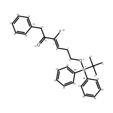 CC(C)(C)[Si](OCC/C=C(\F)C(=O)Cc1ccccc1)(c1ccccc1)c1ccccc1